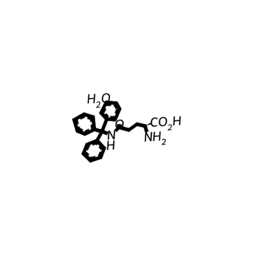 N[C@H](CCC(=O)NC(c1ccccc1)(c1ccccc1)c1ccccc1)C(=O)O.O